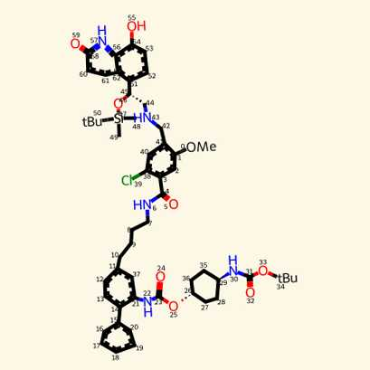 COc1cc(C(=O)NCCCCc2ccc(-c3ccccc3)c(NC(=O)O[C@H]3CC[C@H](NC(=O)OC(C)(C)C)CC3)c2)c(Cl)cc1CNC[C@H](O[Si](C)(C)C(C)(C)C)c1ccc(O)c2[nH]c(=O)ccc12